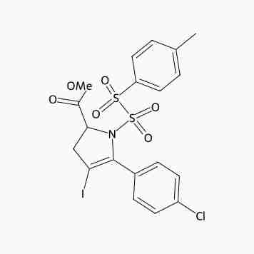 COC(=O)C1CC(I)=C(c2ccc(Cl)cc2)N1S(=O)(=O)S(=O)(=O)c1ccc(C)cc1